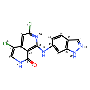 O=c1[nH]cc(Cl)c2cc(Cl)nc(Nc3ccc4cn[nH]c4c3)c12